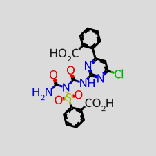 NC(=O)N(C(=O)Nc1nc(Cl)cc(-c2ccccc2C(=O)O)n1)S(=O)(=O)c1ccccc1C(=O)O